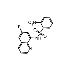 O=[N+]([O-])c1ccccc1S(=O)(=O)Nc1cc(F)cc2cccnc12